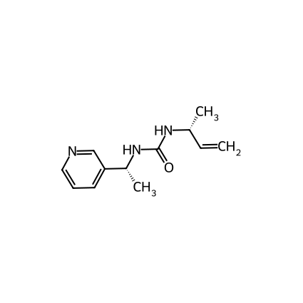 C=C[C@@H](C)NC(=O)N[C@H](C)c1cccnc1